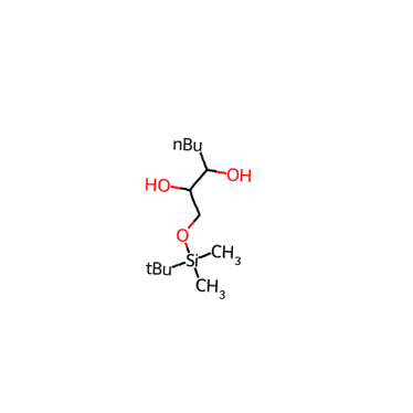 CCCCC(O)C(O)CO[Si](C)(C)C(C)(C)C